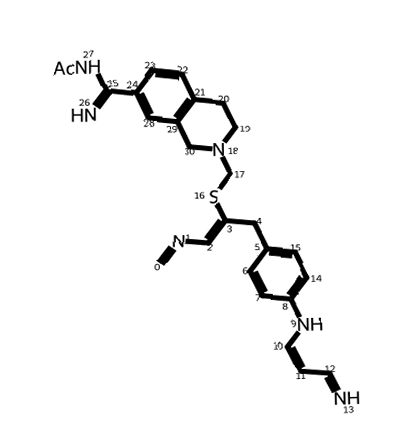 C=N/C=C(/Cc1ccc(N/C=C\C=N)cc1)SCN1CCc2ccc(C(=N)NC(C)=O)cc2C1